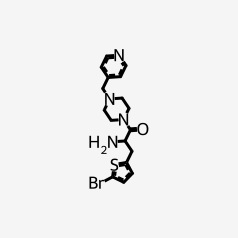 NC(Cc1ccc(Br)s1)C(=O)N1CCN(Cc2ccncc2)CC1